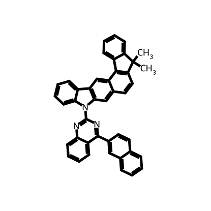 CC1(C)c2ccccc2-c2c1ccc1cc3c(cc21)c1ccccc1n3-c1nc(-c2ccc3ccccc3c2)c2ccccc2n1